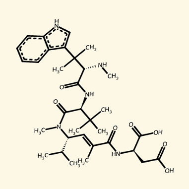 CN[C@H](C(=O)N[C@H](C(=O)N(C)[C@H](/C=C(\C)C(=O)N[C@H](CC(=O)O)C(=O)O)C(C)C)C(C)(C)C)C(C)(C)c1c[nH]c2ccccc12